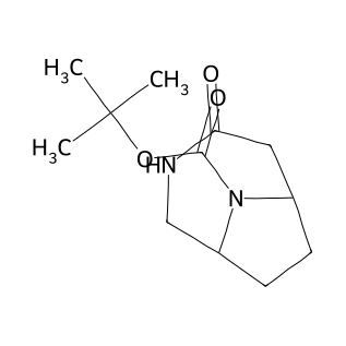 CC(C)(C)OC(=O)N1C2CCC1CC(=O)NC2